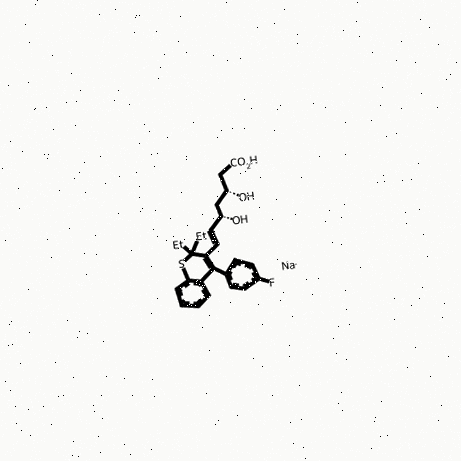 CCC1(CC)Sc2ccccc2C(c2ccc(F)cc2)=C1C=C[C@@H](O)C[C@@H](O)CC(=O)O.[Na]